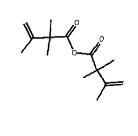 C=C(C)C(C)(C)C(=O)OC(=O)C(C)(C)C(=C)C